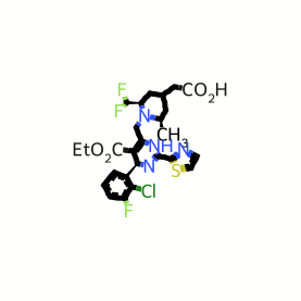 CCOC(=O)C1=C(CN2[C@H](C)CC(CC(=O)O)C[C@@H]2C(F)F)NC(c2nccs2)=N[C@H]1c1cccc(F)c1Cl